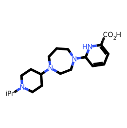 CC(C)N1CCC(N2CCCN(C3C=CC=C(C(=O)O)N3)CC2)CC1